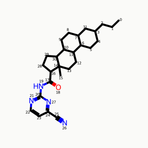 CCCC1CCC2C(CCC3C2CCC2(C)C(C(=O)Nc4nccc(C#N)n4)CCC32)C1